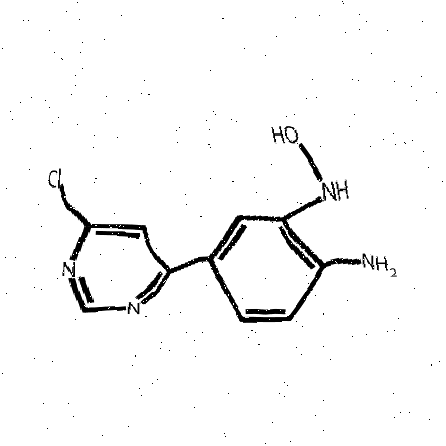 Nc1ccc(-c2cc(Cl)ncn2)cc1NO